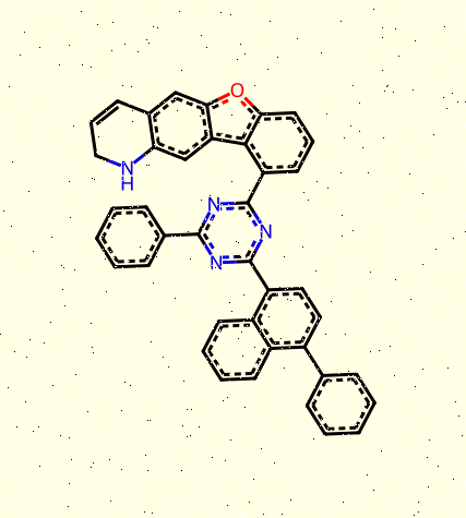 C1=Cc2cc3oc4cccc(-c5nc(-c6ccccc6)nc(-c6ccc(-c7ccccc7)c7ccccc67)n5)c4c3cc2NC1